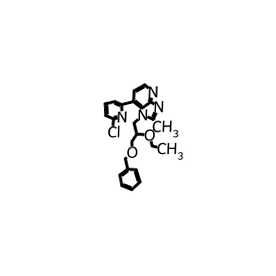 CCOC(COCc1ccccc1)Cn1c(C)nc2nccc(-c3cccc(Cl)n3)c21